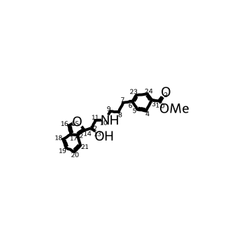 COC(=O)c1ccc(CCCNCC(O)c2occ3ccccc23)cc1